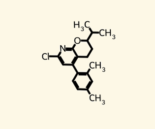 Cc1ccc(-c2cc(Cl)nc3c2CCC(C(C)C)O3)c(C)c1